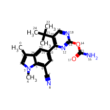 Cc1cn(C)c2c(C#N)cc(-c3nc(OC(N)=O)ncc3C(C)(C)C)cc12